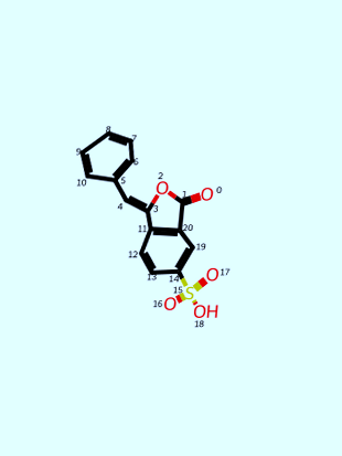 O=C1O/C(=C\c2ccccc2)c2ccc(S(=O)(=O)O)cc21